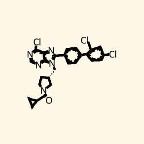 O=C(C1CC1)N1CC[C@H](Cn2c(-c3ccc(-c4ccc(Cl)cc4Cl)cc3)nc3c(Cl)ncnc32)C1